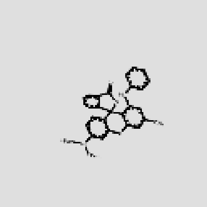 CCCCCN(CCCCC)c1ccc2c(c1)Oc1cc(C)cc(Nc3ccccc3)c1C21OC(=O)c2ccccc21